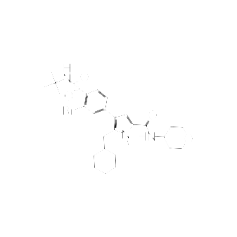 Cn1c(C(=O)NC2CCOCC2)cc(-c2ccc(S(=O)(=O)NC(C)(C)C)c(Br)c2)c1CC1CCCCC1